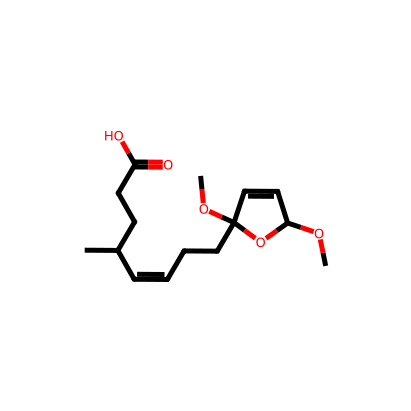 COC1C=CC(CC/C=C\C(C)CCC(=O)O)(OC)O1